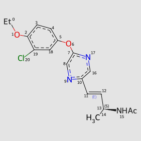 CCOc1ccc(Oc2cnc(/C=C/[C@H](C)NC(C)=O)cn2)cc1Cl